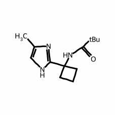 Cc1c[nH]c(C2(NC(=O)C(C)(C)C)CCC2)n1